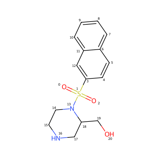 O=S(=O)(c1ccc2ccccc2c1)N1CCNCC1CO